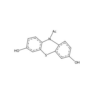 CC(=O)N1c2ccc(O)cc2Sc2cc(O)ccc21